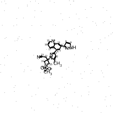 Cc1cc(-c2cc(-c3cc[nH]n3)cc3ncccc23)nn1C1(CC#N)CN(S(C)(=O)=O)C1